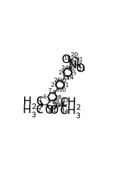 C=C(C)C(=O)c1ccc(-c2ccc(-c3ccc(N4C(=O)C=CC4=O)cc3)cc2)cc1C(=O)C(=C)C